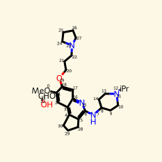 COc1cc2c3c(c(NC4CCN(C(C)C)CC4)nc2cc1OCCCN1CCCC1)CCC3.O=CO